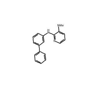 CNc1cccnc1Nc1cccc(-c2ccccc2)c1